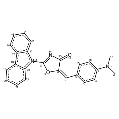 CN(C)c1ccc(/C=C2/OC(n3c4ccccc4c4ccccc43)=NC2=O)cc1